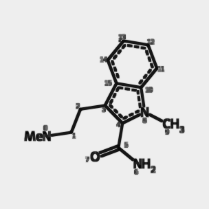 CNCCc1c(C(N)=O)n(C)c2cc[c]cc12